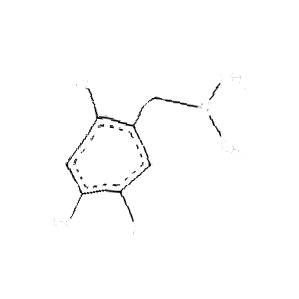 CN(C)Cc1cc(F)c(Br)cc1Cl